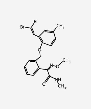 CNC(=O)C(=NOC)c1ccccc1COc1ccc(C)cc1C=C(Br)Br